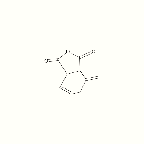 C=C1CC=CC2C(=O)OC(=O)C12